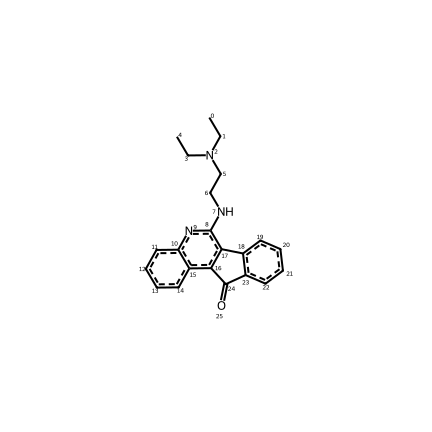 CCN(CC)CCNc1nc2ccccc2c2c1-c1ccccc1C2=O